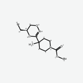 CC(C)(C)OC(=O)N1CCC(C)(C2=NOC[C@H](CBr)O2)CC1